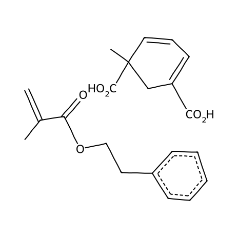 C=C(C)C(=O)OCCc1ccccc1.CC1(C(=O)O)C=CC=C(C(=O)O)C1